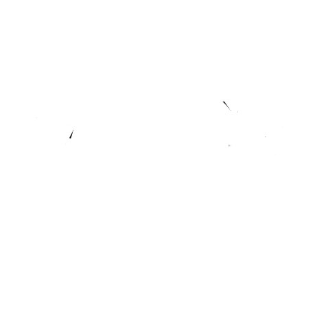 C=C[C@H](O)c1ccc(-c2ccc(C[C@H]3OC(C)(C)O[C@@H]3CCCCCCC)cc2)cc1